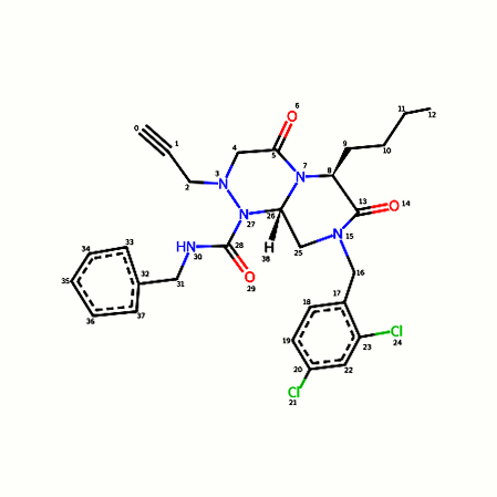 C#CCN1CC(=O)N2[C@@H](CCCC)C(=O)N(Cc3ccc(Cl)cc3Cl)C[C@@H]2N1C(=O)NCc1ccccc1